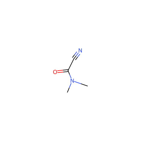 CN(C)C(=O)C#N